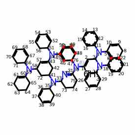 C/C(=C\C(N(C1=CCCC=C1)c1ccccc1)N(c1ccccc1)C1C=CC=CC1)N(C1=NC(N(C2C=CC=CC2)C2CC(N(C3=CCCC=C3)C3C=CC=CC3)=CC(N(C3=CCCCC3)C3C=CC=CC3)C2)CCC1)C1C=CC=CC1